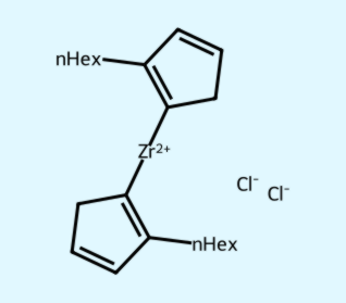 CCCCCCC1=[C]([Zr+2][C]2=C(CCCCCC)C=CC2)CC=C1.[Cl-].[Cl-]